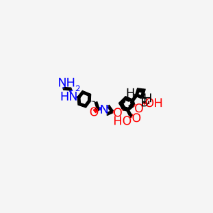 NCCN[C@H]1CC[C@H](CC(=O)N2CC(Oc3ccc4c(c3C(=O)O)OB(O)[C@@H]3C=C[C@H]43)C2)CC1